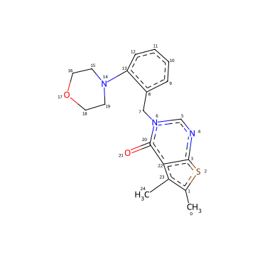 Cc1sc2ncn(Cc3ccccc3N3CCOCC3)c(=O)c2c1C